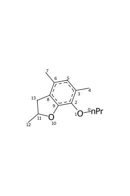 CCCOc1c(C)cc(C)c2c1OC(C)C2